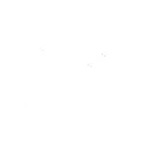 CC#Cc1cnn(-c2ccnc3cc(Cl)ccc23)c1